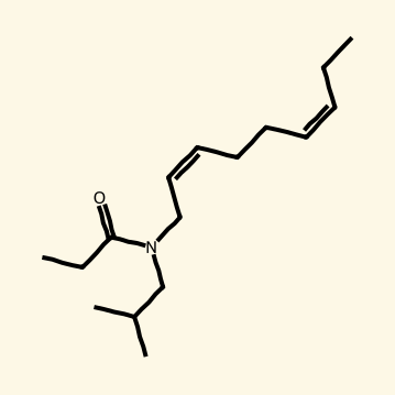 CC/C=C\CC/C=C\CN(CC(C)C)C(=O)CC